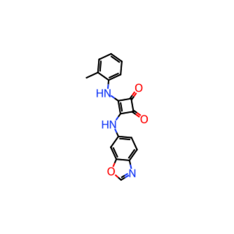 Cc1ccccc1Nc1c(Nc2ccc3ncoc3c2)c(=O)c1=O